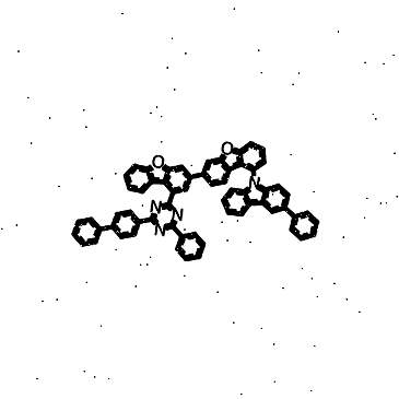 c1ccc(-c2ccc(-c3nc(-c4ccccc4)nc(-c4cc(-c5ccc6c(c5)oc5cccc(-n7c8ccccc8c8cc(-c9ccccc9)ccc87)c56)cc5oc6ccccc6c45)n3)cc2)cc1